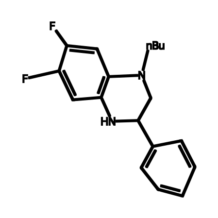 CCCCN1CC(c2ccccc2)Nc2cc(F)c(F)cc21